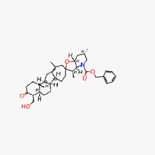 CC1=C2C[C@H]3[C@@H](CC[C@@H]4C(CO)C(=O)CC[C@@]43C)[C@@H]2CCC2(C1)O[C@@H]1C[C@H](C)CN(C(=O)OCc3ccccc3)[C@H]1[C@H]2C